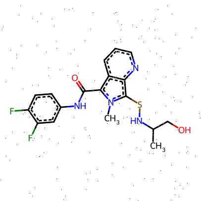 CC(CO)NSc1c2ncccc2c(C(=O)Nc2ccc(F)c(F)c2)n1C